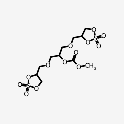 COC(=O)OC(COCC1COS(=O)(=O)O1)COCC1COS(=O)(=O)O1